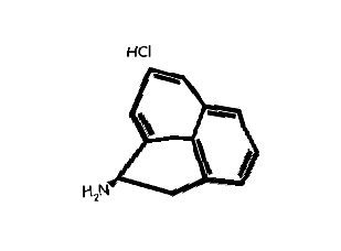 Cl.N[C@@H]1Cc2cccc3cccc1c23